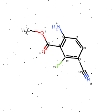 COC(=O)c1c(N)ccc(C#N)c1F